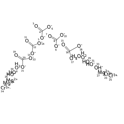 O.O.O.O=C([O-])[O-].O=C([O-])[O-].O=C([O-])[O-].O=C([O-])[O-].O=C([O-])[O-].[Cr+3].[Cr+3].[Cr+3].[Mg+2].[Mg+2].[Mg+2].[OH-].[OH-].[OH-].[OH-].[OH-]